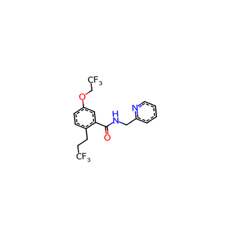 O=C(NCc1ccccn1)c1cc(OCC(F)(F)F)ccc1CCC(F)(F)F